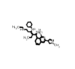 C=CNCC/C(NC1CCCCC1)=C(\CC)C(=N)C1CC=Cc2cc(C3C=NN(C)C3)nc(C)c21